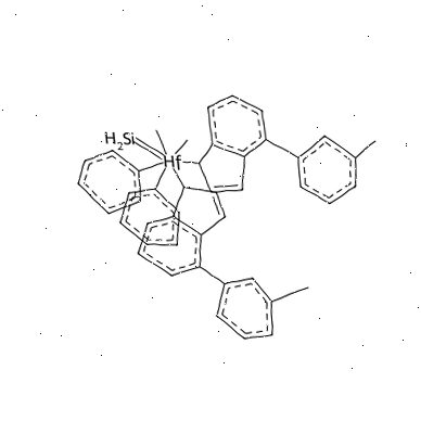 Cc1cccc(-c2cccc3c2C=C[CH]3[Hf]([CH3])([CH3])(=[SiH2])([c]2ccccc2)([c]2ccccc2)[CH]2C=Cc3c(-c4cccc(C)c4)cccc32)c1